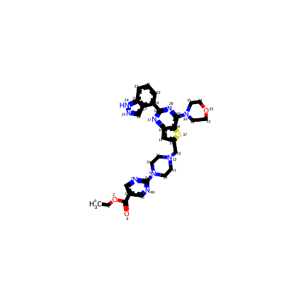 CCOC(=O)c1cnc(N2CCN(Cc3cc4nc(-c5cccc6[nH]ncc56)nc(N5CCOCC5)c4s3)CC2)nc1